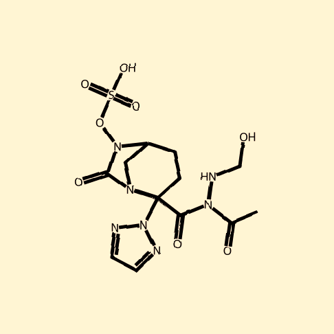 CC(=O)N(NCO)C(=O)C1(n2nccn2)CCC2CN1C(=O)N2OS(=O)(=O)O